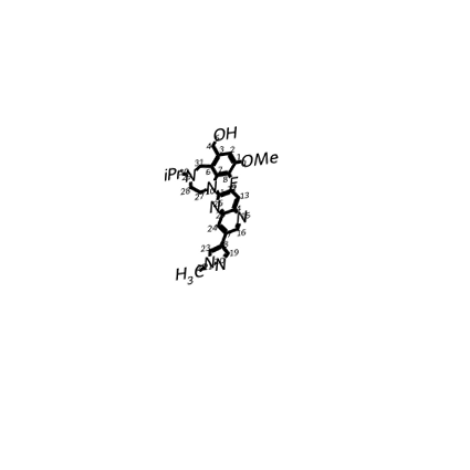 COc1cc(CO)c2c(c1F)N(c1ccc3ncc(-c4cnn(C)c4)cc3n1)CCN(C(C)C)C2